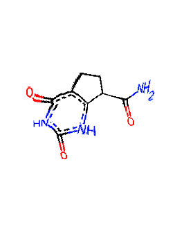 NC(=O)C1CCc2c1[nH]c(=O)[nH]c2=O